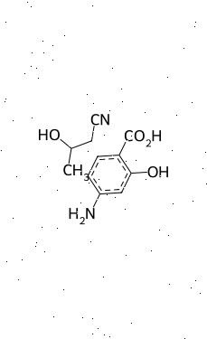 CC(O)CC#N.Nc1ccc(C(=O)O)c(O)c1